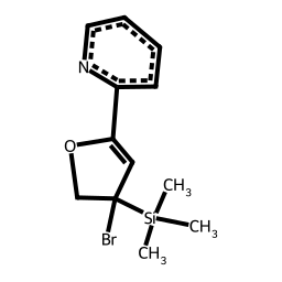 C[Si](C)(C)C1(Br)C=C(c2ccccn2)OC1